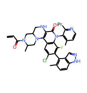 C=CC(=O)N1CC2CNc3c(c4cc(Cl)c(-c5c(C)ccc6[nH]ncc56)c(F)c4n(-c4c(C)ccnc4C(C)C)c3=O)N2CC1C